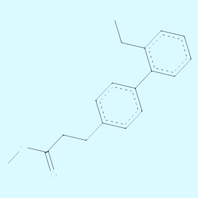 CCc1ccccc1-c1ccc(CCC(=O)OC)cc1